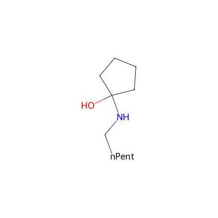 CCCCCCNC1(O)CCCC1